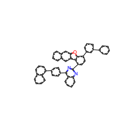 c1ccc(-c2cccc(-c3ccc(-c4nc(-c5ccc(-c6cccc7ccccc67)cc5)c5ccccc5n4)c4c3oc3cc5ccccc5cc34)c2)cc1